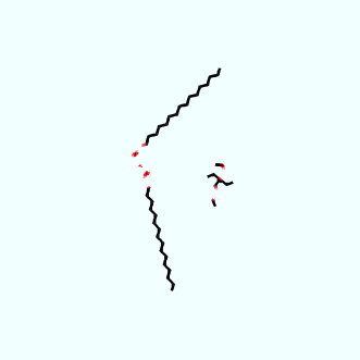 CCCCCCCCCCCCCCCCOC(=O)OOC(=O)OCCCCCCCCCCCCCCCC.CCOCC(CC)(CC)OC(C)=O